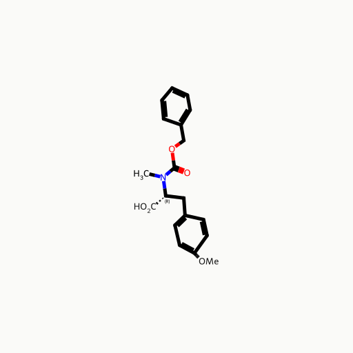 COc1ccc(C[C@H](C(=O)O)N(C)C(=O)OCc2ccccc2)cc1